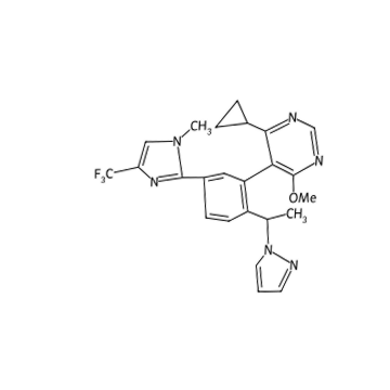 COc1ncnc(C2CC2)c1-c1cc(-c2nc(C(F)(F)F)cn2C)ccc1C(C)n1cccn1